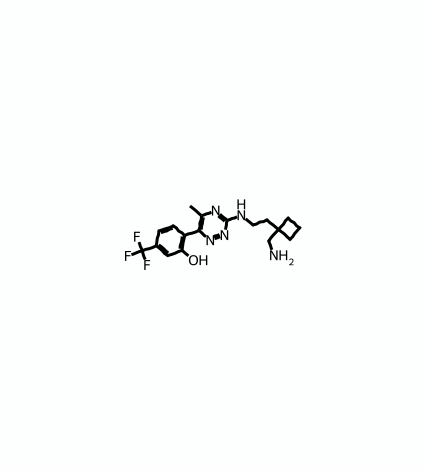 Cc1nc(NCCC2(CN)CCC2)nnc1-c1ccc(C(F)(F)F)cc1O